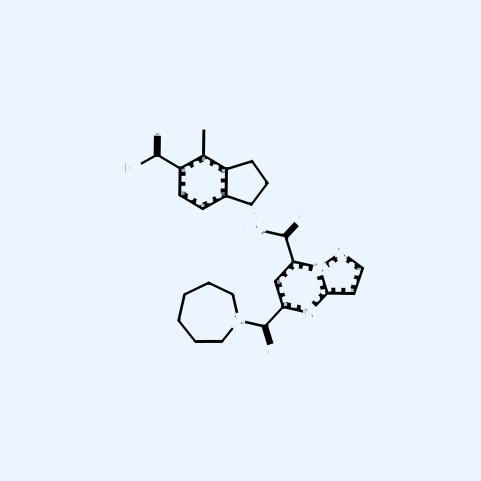 Cc1c(C(=O)O)ccc2c1CC[C@@H]2NC(=O)c1cc(C(=O)N2CCCCCC2)nc2ccnn12